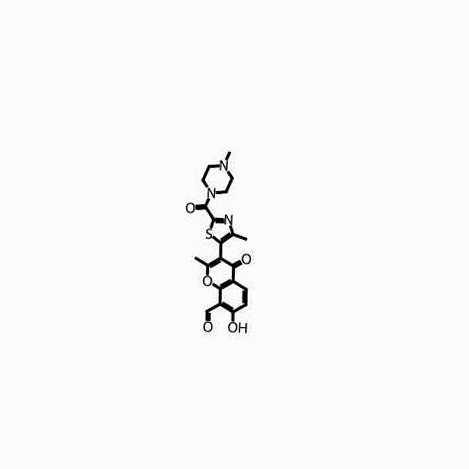 Cc1nc(C(=O)N2CCN(C)CC2)sc1-c1c(C)oc2c(C=O)c(O)ccc2c1=O